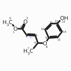 COC(=O)/C=C/C(C)Oc1ccc(O)cc1